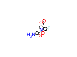 COC(=O)CC1CCCN(C(=O)c2ccc(N)cc2OC)c2ccc(F)cc21